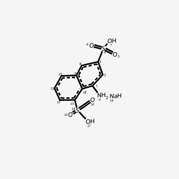 Nc1cc(S(=O)(=O)O)cc2cccc(S(=O)(=O)O)c12.[NaH]